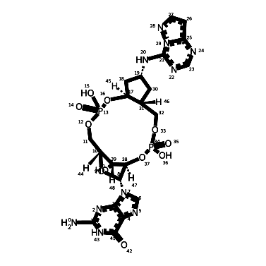 Nc1nc2c(ncn2[C@@H]2O[C@@H]3COP(=O)(O)O[C@H]4C[C@H](Nc5ncnc6ccnn56)C[C@@H]4COP(=O)(O)O[C@@H]2[C@@H]3O)c(=O)[nH]1